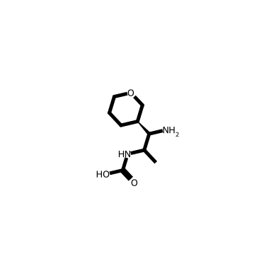 CC(NC(=O)O)C(N)[C@H]1CCCOC1